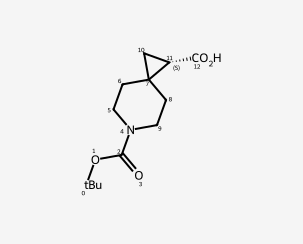 CC(C)(C)OC(=O)N1CCC2(CC1)C[C@@H]2C(=O)O